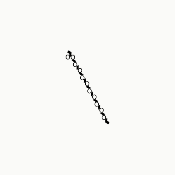 C=CCOCCOCCOCCOCCOCCOCCOCCOCCOCCOC(=O)C=C